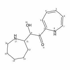 O=C(C1=CC=CC=CN1)C(O)C1CCCCCN1